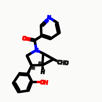 O=CC1C2[C@H]1[C@@H](c1ccccc1O)CN2C(=O)c1cccnc1